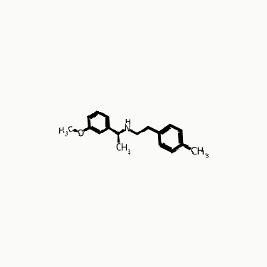 COc1cccc([C@H](C)NCCc2ccc(C)cc2)c1